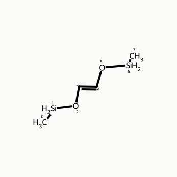 C[SiH2]OC=CO[SiH2]C